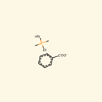 CCC[P+](C)(C)CC.O=C([O-])c1ccccc1